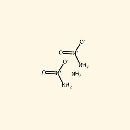 N.N[N+](=O)[O-].N[N+](=O)[O-]